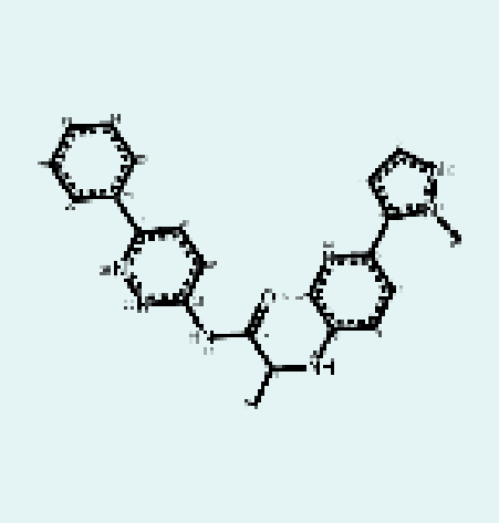 CC(Nc1ccc(-c2ccnn2C)nc1)C(=O)Nc1ccc(-c2ccccc2)nn1